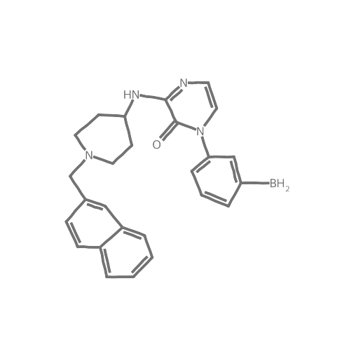 Bc1cccc(-n2ccnc(NC3CCN(Cc4ccc5ccccc5c4)CC3)c2=O)c1